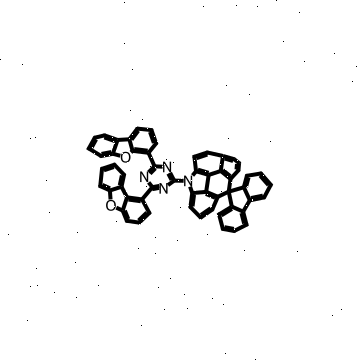 c1ccc2c(c1)-c1ccccc1C21c2cccc3ccc4c(c23)c2c1cccc2n4-c1nc(-c2cccc3c2oc2ccccc23)nc(-c2cccc3oc4ccccc4c23)n1